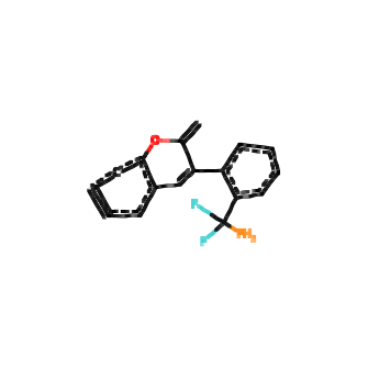 C=C1Oc2cc#ccc2C=C1c1ccccc1C(F)(F)P